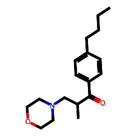 CCCCc1ccc(C(=O)C(C)CN2CCOCC2)cc1